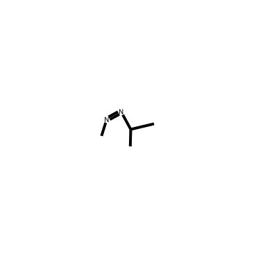 C/N=N\C(C)C